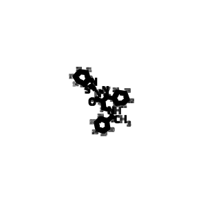 CC(N/C=C1/C(=O)N(c2nc3ccccc3s2)N=C1c1ccccc1)c1ccccc1